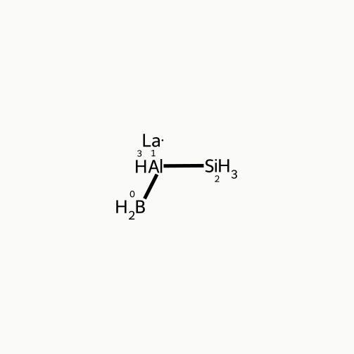 [BH2][AlH][SiH3].[La]